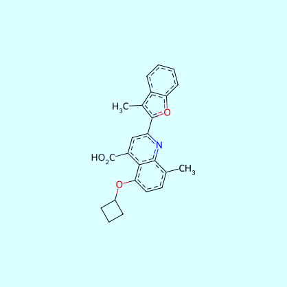 Cc1c(-c2cc(C(=O)O)c3c(OC4CCC4)ccc(C)c3n2)oc2ccccc12